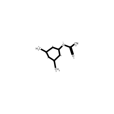 CC1CC(C)CC(OC(=O)C#N)C1